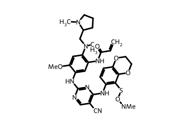 C=CC(=O)Nc1cc(Nc2ncc(C#N)c(Nc3ccc4c(c3SONC)OCCO4)n2)c(OC)cc1N(C)CC1CCCN1C